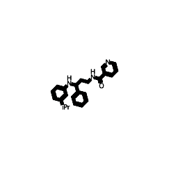 CC(C)c1cccc(NC(CCNC(=O)c2cccnc2)c2ccccc2)c1